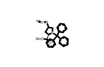 COC(=O)[C@H]1CC(N=[N+]=[N-])CN1C(c1ccccc1)(c1ccccc1)c1ccccc1